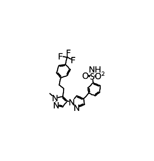 Cn1ncc(-n2cc(-c3cccc(S(N)(=O)=O)c3)cn2)c1CCc1ccc(C(F)(F)F)cc1